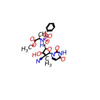 COC(=O)[C@H](C)NP(=O)(OC[C@H]1O[C@@H](n2ccc(=O)[nH]c2=O)[C@](C)(C#N)C1O)Oc1ccccc1